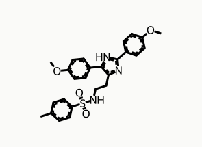 COc1ccc(-c2nc(CCNS(=O)(=O)c3ccc(C)cc3)c(-c3ccc(OC)cc3)[nH]2)cc1